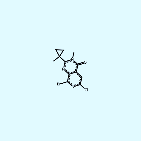 Cn1c(C2(C)CC2)nc2c(Br)nc(Cl)cc2c1=O